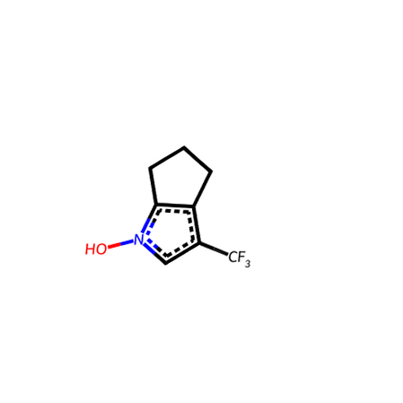 On1cc(C(F)(F)F)c2c1CCC2